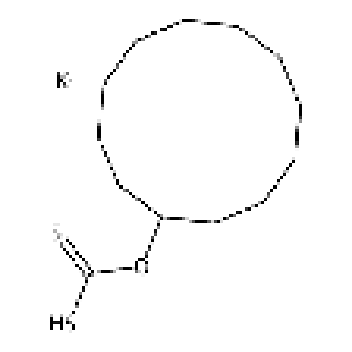 S=C(S)OC1CCCCCCCCCCC1.[K]